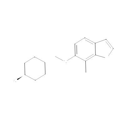 Cc1c(NC[C@H]2CC[C@H](N)CC2)ccc2ccsc12